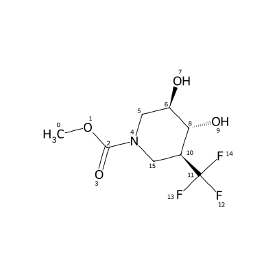 COC(=O)N1C[C@@H](O)[C@H](O)[C@@H](C(F)(F)F)C1